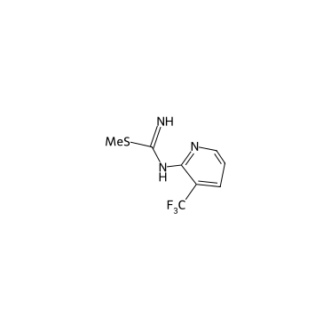 CSC(=N)Nc1ncccc1C(F)(F)F